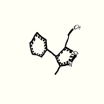 Cc1noc(CO)c1-c1[c]cccc1